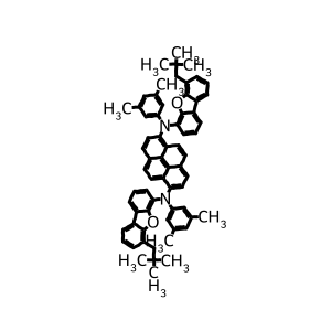 Cc1cc(C)cc(N(c2ccc3ccc4c(N(c5cc(C)cc(C)c5)c5cccc6c5oc5c(CC(C)(C)C)cccc56)ccc5ccc2c3c54)c2cccc3c2oc2c(CC(C)(C)C)cccc23)c1